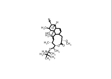 CO[C@H]1CC2C=CC3[C@H]4O[C@]2(/C(C)=C/[C@@H](C)[C@@H]([C@@H](C)O[Si](C)(C)C(C)(C)C)OC1=O)[C@@H]3[C@H](O)C(C)[C@H]4C#N